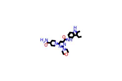 CCc1c(C)[nH]c2ccc(NC(=O)c3cc(N4CCC(C(N)=O)CC4)nc(N4CCOCC4)n3)cc12